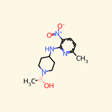 CB(O)N1CCC(Nc2nc(C)ccc2[N+](=O)[O-])CC1